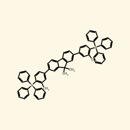 Cc1cc(-c2ccc3c(c2)C(C)(C)c2cc(-c4ccc([Si](c5ccccc5)(c5ccccc5)c5ccccc5)c(C)c4)ccc2-3)ccc1[Si](c1ccccc1)(c1ccccc1)c1ccccc1